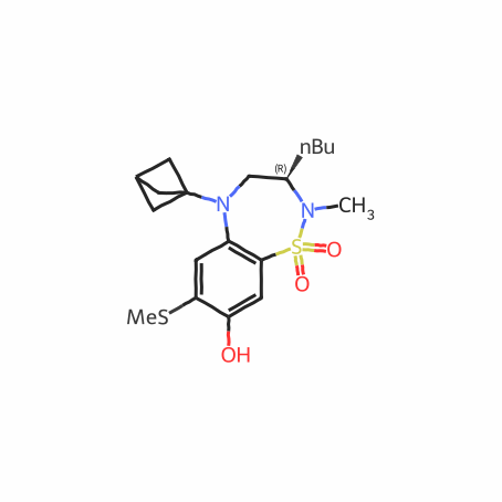 CCCC[C@@H]1CN(C23CC(C2)C3)c2cc(SC)c(O)cc2S(=O)(=O)N1C